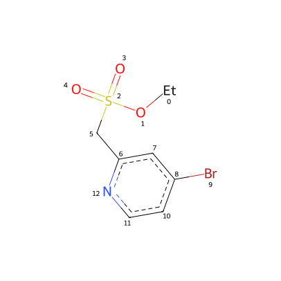 CCOS(=O)(=O)Cc1cc(Br)ccn1